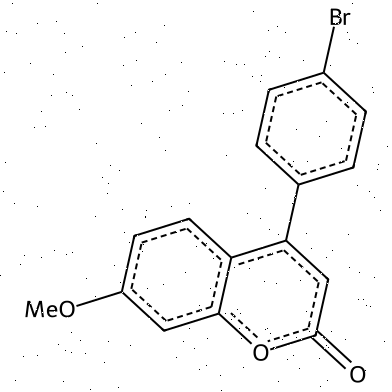 COc1ccc2c(-c3ccc(Br)cc3)cc(=O)oc2c1